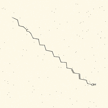 CCCCCCCCCCCCCCCCC/C=C/C=C/CCO